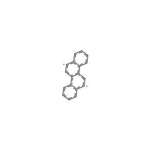 [c]1cc2c3ccccc3[c]cc2c2ccccc12